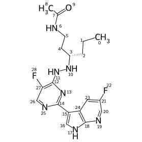 CCC[C@@H](CCNC(C)=O)NNc1nc(-c2c[nH]c3ncc(F)cc23)ncc1F